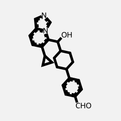 O=Cc1ccc(C2CCC(C(O)c3c(C4CC4)ccc4cncn34)CC2)cc1